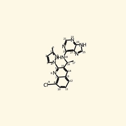 Cc1ccn(-c2nc3c(Cl)cccc3cc2[C@H](C)Nc2ncnc3[nH]cnc23)n1